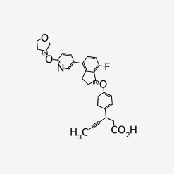 CC#CC(CC(=O)O)c1ccc(O[C@@H]2CCc3c(-c4ccc(O[C@H]5CCOC5)nc4)ccc(F)c32)cc1